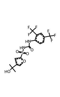 CC(C)(O)c1coc(S(=O)(=O)NC(=O)Nc2ccc(C(F)(F)F)cc2C(F)(F)F)c1